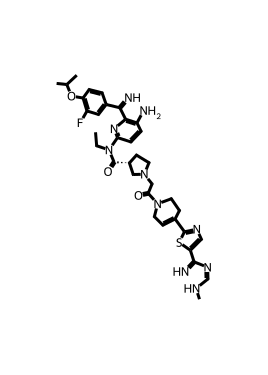 CCN(C(=O)[C@@H]1CCN(CC(=O)N2CC=C(c3ncc(C(=N)/N=C\NC)s3)CC2)C1)c1ccc(N)c(C(=N)c2ccc(OC(C)C)c(F)c2)n1